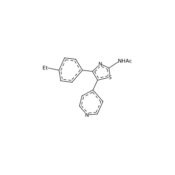 CCc1ccc(-c2nc(NC(C)=O)sc2-c2ccncc2)cc1